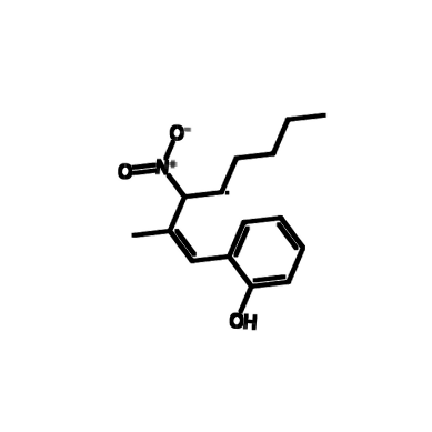 CCCC[CH]C(C(C)=Cc1ccccc1O)[N+](=O)[O-]